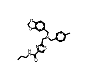 CCCNC(=O)c1csc(CN(Cc2ccc(C)cc2)Cc2ccc3c(c2)OCO3)n1